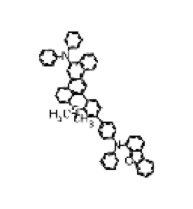 C[Si]1(C)c2cc(-c3ccc(N(c4ccccc4)c4cccc5c4oc4ccccc45)cc3)ccc2-c2cc3c4ccccc4c(N(c4ccccc4)c4ccccc4)cc3c3cccc1c23